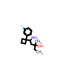 CCC(C)(O)CC(N)C1(c2cccc(F)c2)CCC1